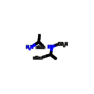 CCCCCCCCCC(C)N.CCCCCCCCCC(C)NC(=O)O